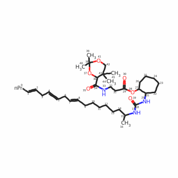 CCCC=CCC=CCC=CCCCCCCC(C)NC(=O)NC1CCCCCC1OC(=O)CCNC(=O)C1OC(C)(C)OCC1(C)C